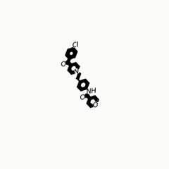 O=C(N[C@H]1CC[C@H](CCN2CCC(C(=O)c3ccc(Cl)cc3)CC2)CC1)C1CCOCC1